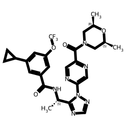 C[C@@H]1CN(C(=O)c2cnc(-n3ncnc3[C@H](C)NC(=O)c3cc(OC(F)(F)F)cc(C4CC4)c3)cn2)C[C@H](C)O1